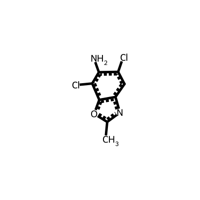 Cc1nc2cc(Cl)c(N)c(Cl)c2o1